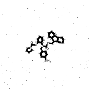 Nc1ccc(CN(C(=O)OCC2c3ccccc3-c3ccccc32)c2ccccc2OC(=O)N2CCCC2)cc1